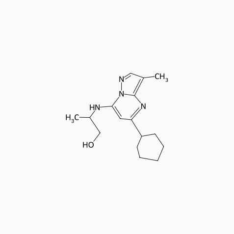 Cc1cnn2c(NC(C)CO)cc(C3CCCCC3)nc12